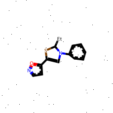 CCC1SC(c2ccno2)=[C]N1c1ccccc1